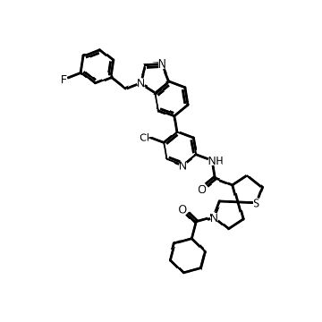 O=C(Nc1cc(-c2ccc3ncn(Cc4cccc(F)c4)c3c2)c(Cl)cn1)C1CCSC12CCN(C(=O)C1CCCCC1)C2